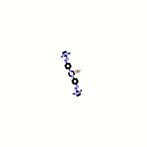 Cn1cc[n+](C)c1/N=N/c1ccc(N2CCN(c3ccc(/N=N/c4n(C)cc[n+]4C)cc3)CC2)cc1.[Br-].[Br-]